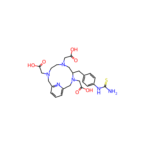 NC(=S)Nc1ccc(CC2CN(CC(=O)O)CCN(CC(=O)O)Cc3cccc(n3)CN2CC(=O)O)cc1